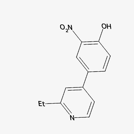 CCc1cc(-c2ccc(O)c([N+](=O)[O-])c2)ccn1